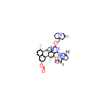 C#Cc1c(F)ccc2cc(OC=O)cc(-c3c(F)c(OC)c4c(N5C[C@H]6CC[C@@H](C5)N6)nc(OC[C@@]56CCCN5C[C@H](F)C6)nc4c3F)c12